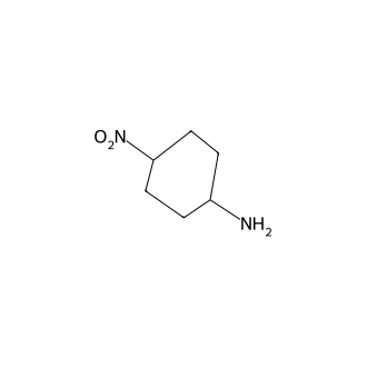 NC1CCC([N+](=O)[O-])CC1